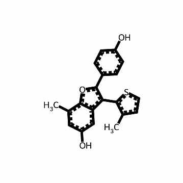 Cc1ccsc1-c1c(-c2ccc(O)cc2)oc2c(C)cc(O)cc12